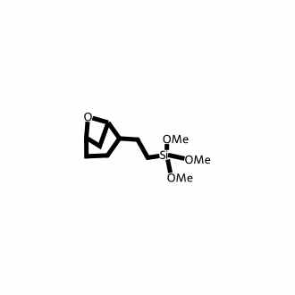 CO[Si](CCC1CCC2CC1O2)(OC)OC